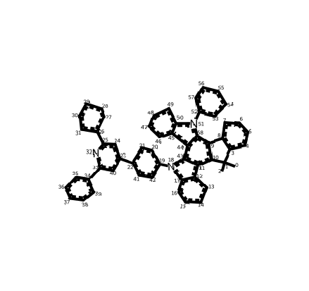 CC1(C)c2ccccc2-c2c1c1c3ccccc3n(-c3ccc(-c4cc(-c5ccccc5)nc(-c5ccccc5)c4)cc3)c1c1c3ccccc3n(-c3ccccc3)c21